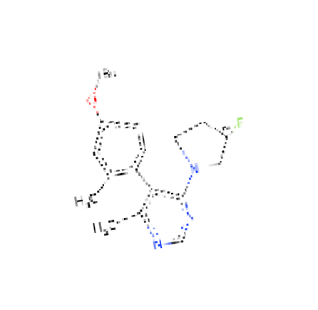 Cc1cc(OC(C)(C)C)ccc1-c1c(C)ncnc1N1CC[C@H](F)C1